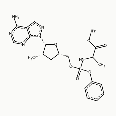 CC(C)OC(=O)C(C)NP(=O)(OC[C@@H]1C[C@H](C)[C@H](n2ncc3c(N)ncnc32)O1)Oc1ccccc1